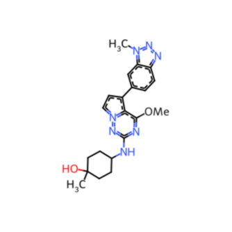 COc1nc(NC2CCC(C)(O)CC2)nn2ccc(-c3ccc4nnn(C)c4c3)c12